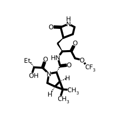 CC[C@@H](O)C(=O)N1C[C@H]2[C@@H]([C@H]1C(=O)N[C@@H](C[C@@H]1CCNC1=O)C(=O)COC(F)(F)F)C2(C)C